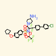 NC1CCN(C(=O)[C@H](N(OC(=O)C(F)(F)F)S(=O)(=O)c2ccc3cc(OC4CCCC4)ccc3c2)C(F)(F)c2ccc(-c3ccc(Cl)cc3)cc2)CC1